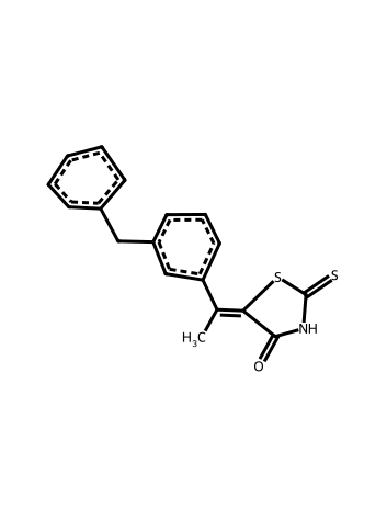 CC(=C1SC(=S)NC1=O)c1cccc(Cc2ccccc2)c1